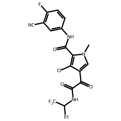 CCC(NC(=O)C(=O)c1cn(C)c(C(=O)Nc2ccc(F)c(C#N)c2)c1Cl)C(F)(F)F